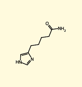 NC(=O)CCCCc1c[nH]cn1